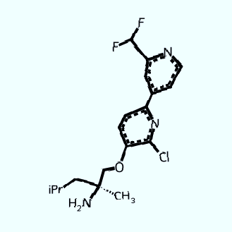 CC(C)C[C@](C)(N)COc1ccc(-c2ccnc(C(F)F)c2)nc1Cl